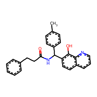 Cc1ccc(C(NC(=O)CCc2ccccc2)c2ccc3cccnc3c2O)cc1